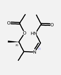 CC(=O)N/C=N\C(C)[C@@H](C)OC(C)=O